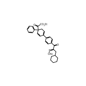 CCOC(=O)C(=O)C1(c2ccccc2)C=CC(c2ccc(C(=O)C(CC3CCCCC3)=NOC(C)=O)cc2)=CC1